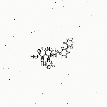 Cc1nc2cc(-c3cccc(-c4ccccc4)c3)nn2c(N2CCOCC2)c1[C@H](O)C(=O)O